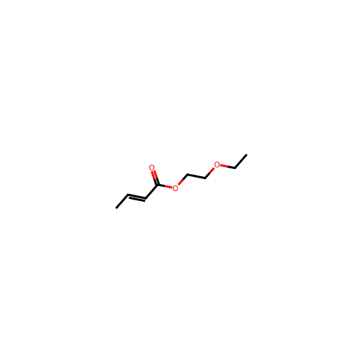 CC=CC(=O)OCCOCC